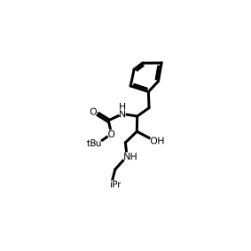 CC(C)CNCC(O)C(Cc1ccccc1)NC(=O)OC(C)(C)C